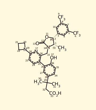 C[C@H]1[C@@H](c2cc(C(F)(F)F)cc(C(F)(F)F)c2)OC(=O)N1Cc1nc(N2CCC2)ccc1-c1cc(C(C)(C)CC(=O)O)ccc1O